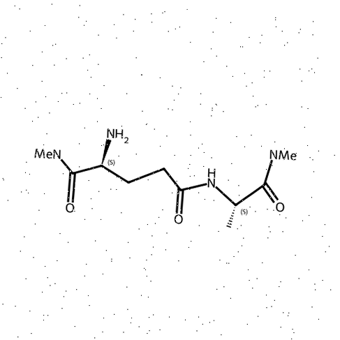 CNC(=O)[C@H](C)NC(=O)CC[C@H](N)C(=O)NC